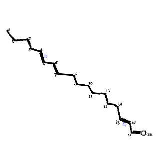 CCCC/C=C/CCCCCCCCC/C=C/C=O